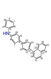 c1ccc(Nc2ccc(-c3ccc(-c4cccc5ccccc45)cc3)cc2)cc1